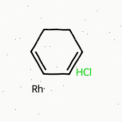 C1=CCCC=C1.Cl.[Rh]